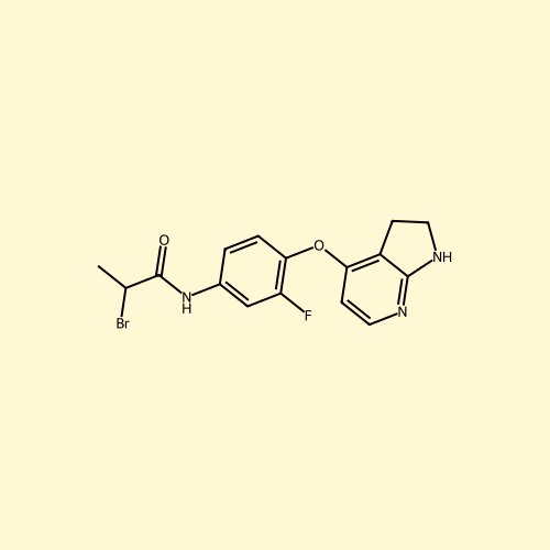 CC(Br)C(=O)Nc1ccc(Oc2ccnc3c2CCN3)c(F)c1